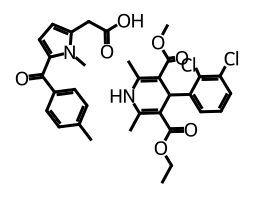 CCOC(=O)C1=C(C)NC(C)=C(C(=O)OC)C1c1cccc(Cl)c1Cl.Cc1ccc(C(=O)c2ccc(CC(=O)O)n2C)cc1